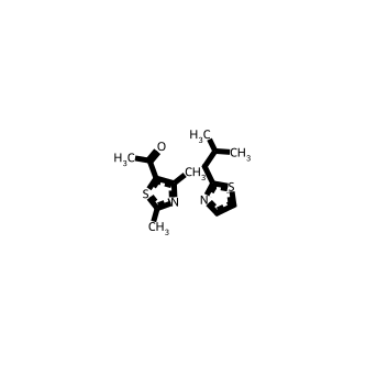 CC(=O)c1sc(C)nc1C.CC(C)Cc1nccs1